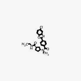 CCNC(=O)[C@@H]1CC[C@@H](N(C)C(=O)c2ccc(-c3nc4cc(Cl)ccc4o3)cc2)C1